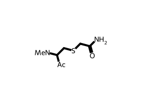 CNC(CSCC(N)=O)C(C)=O